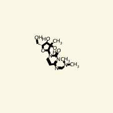 CN(C)/C=N\c1ccn(C2O[C@H](CO)[C@H](O)C2(C)O)c(=O)n1